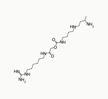 CC(N)CCNCCCCNC(=O)OCC(=O)NCCCCCCNC(=N)N